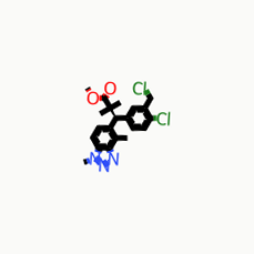 COC(=O)C(C)(C)[C@@H](c1ccc(Cl)c(CCl)c1)c1ccc2c(nnn2C)c1C